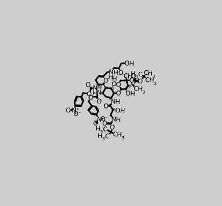 CN(C(=O)OC(C)(C)C)[C@@H]1[C@@H](O)[C@@H](O[C@@H]2[C@@H](O)[C@H](C3OC(CNCC(O)CO)=CC[C@H]3NC(=O)OCc3ccc([N+](=O)[O-])cc3)[C@@H](NC(=O)OCc3ccc([N+](=O)[O-])cc3)C[C@H]2NC(=O)[C@H](O)CNC(=O)OC(C)(C)C)OC[C@]1(C)O